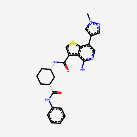 Cn1cc(-c2cnc(N)c3c(C(=O)N[C@H]4CCC[C@@H](C(=O)Nc5ccccc5)C4)csc23)cn1